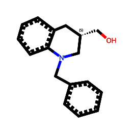 OC[C@H]1Cc2ccccc2N(Cc2ccccc2)C1